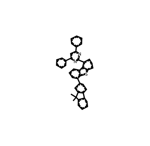 CC1(C)c2ccccc2-c2ccc(-c3cccc4c3sc3cccc(-c5nc(-c6ccccc6)cc(-c6ccccc6)n5)c34)cc21